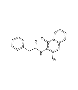 CCCc1cc2ccccc2c(=O)n1NC(=O)Cc1ccccc1